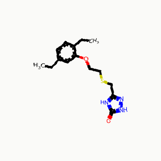 CCc1ccc(CC)c(OCCSCc2n[nH]c(=O)[nH]2)c1